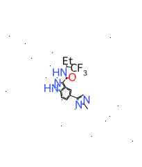 CCC(NC(=O)c1n[nH]c2ccc(-c3cnc(C)n3C)cc12)C(F)(F)F